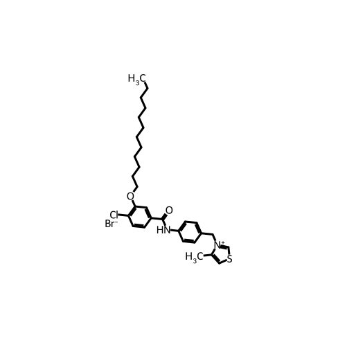 CCCCCCCCCCCCOc1cc(C(=O)Nc2ccc(C[n+]3cscc3C)cc2)ccc1Cl.[Br-]